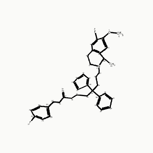 COc1cc2c(cc1F)CCN(CCCC(CCCC(=O)CCc1ccc(F)cc1)(c1ccccc1)c1ccccc1)C2C